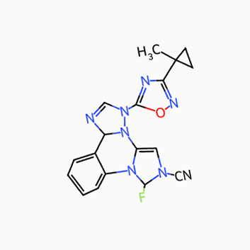 CC1(c2noc(N3C=NC4c5ccccc5N5C(=CN(C#N)C5F)N43)n2)CC1